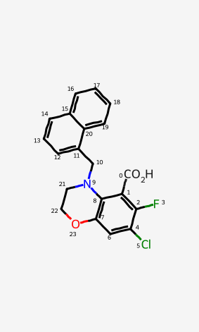 O=C(O)c1c(F)c(Cl)cc2c1N(Cc1cccc3ccccc13)CCO2